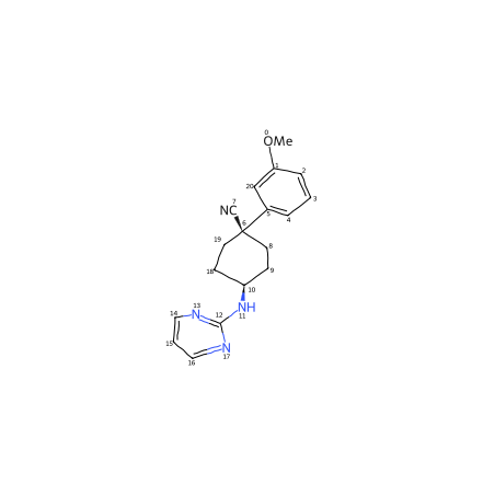 COc1cccc([C@]2(C#N)CC[C@@H](Nc3ncccn3)CC2)c1